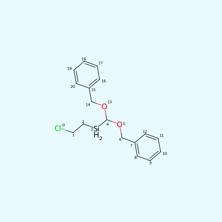 ClCC[SiH2]C(OCc1ccccc1)OCc1ccccc1